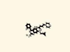 Nc1nc(-c2ccccc2F)c2cc(NC(=O)C=CCN3CCOCC3)c(OCC3CC3)cc2n1